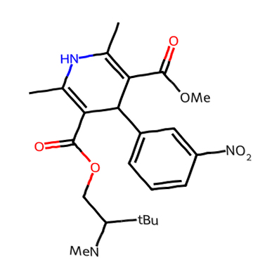 CNC(COC(=O)C1=C(C)NC(C)=C(C(=O)OC)C1c1cccc([N+](=O)[O-])c1)C(C)(C)C